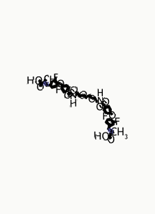 C/C(=C\c1cc(F)c(Oc2ccc(S(=O)(=O)NCCOCCOCCNS(=O)(=O)c3ccc(Oc4c(F)cc(/C=C(\C)C(=O)O)cc4F)cc3)cc2)c(F)c1)C(=O)O